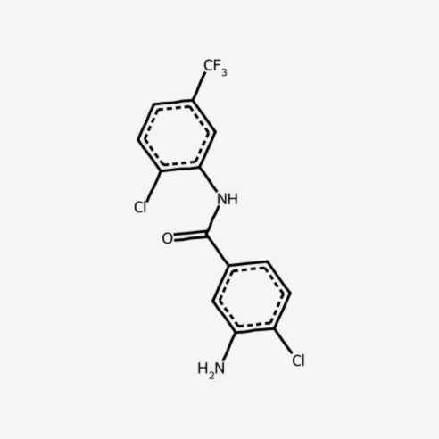 Nc1cc(C(=O)Nc2cc(C(F)(F)F)ccc2Cl)ccc1Cl